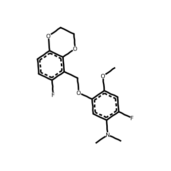 COc1cc(F)c(N(C)C)cc1OCc1c(F)ccc2c1OCCO2